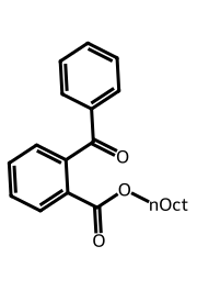 CCCCCCCCOC(=O)c1ccccc1C(=O)c1ccccc1